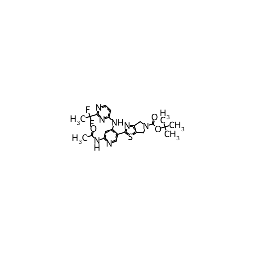 CC(=O)Nc1cc(Nc2ccnc(C(C)(F)F)n2)c(-c2nc3c(s2)CN(C(=O)OC(C)(C)C)C3)cn1